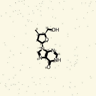 C[C@@H]1C[C@H](n2cnc3c(=O)[nH]cnc32)O[C@@H]1CO